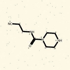 N#CCCNC(=O)N1CCNCC1